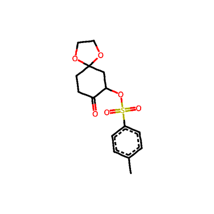 Cc1ccc(S(=O)(=O)OC2CC3(CCC2=O)OCCO3)cc1